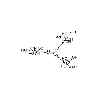 CC(=O)N/C(=C/C(O)(CO)CCO)[C@@H](O)OCCCCCOCC(C)(COCCCCCO[C@H](O)/C(NC(C)=O)=C(\O)[C@@H](O)CCO)COCCCCCO[C@H](O)/C(NC(C)=O)=C(\O)[C@@H](O)CCO